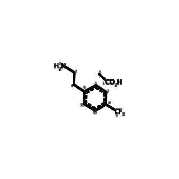 CC(=O)O.NCCc1ccc(C(F)(F)F)cc1